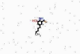 CCCCCc1cc(O)c(N)c(C=S)c1